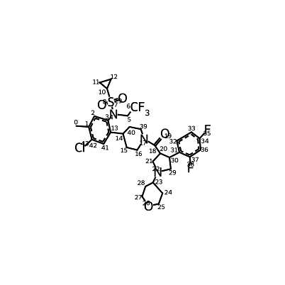 Cc1cc(N(CC(F)(F)F)S(=O)(=O)C2CC2)c(C2CCN(C(=O)C3CN(C4CCOCC4)CC3c3ccc(F)cc3F)CC2)cc1Cl